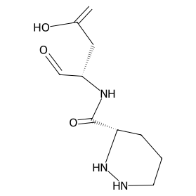 C=C(O)C[C@@H](C=O)NC(=O)[C@@H]1CCCNN1